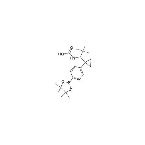 CC(C)(C)C(NC(=O)O)C1(c2ccc(B3OC(C)(C)C(C)(C)O3)cc2)CC1